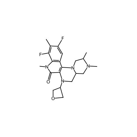 Cc1c(F)cc2c3c(c(=O)n(C)c2c1F)N(C1COC1)CC1CN(C)C(C)CN31